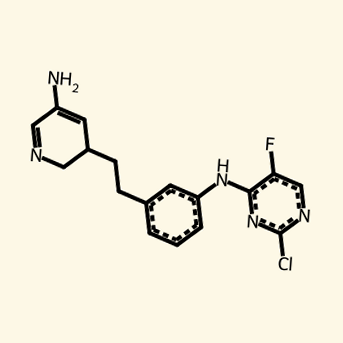 NC1=CC(CCc2cccc(Nc3nc(Cl)ncc3F)c2)CN=C1